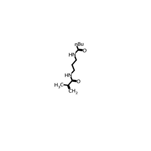 C=C(C)C(=O)NCCCNC(=O)CCCC